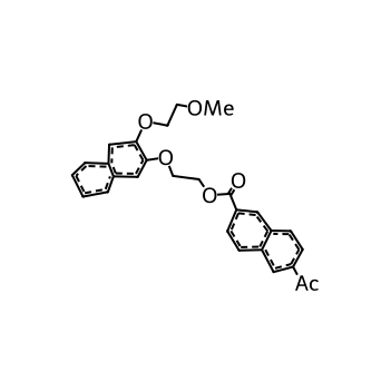 COCCOc1cc2ccccc2cc1OCCOC(=O)c1ccc2cc(C(C)=O)ccc2c1